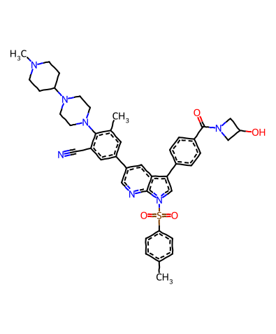 Cc1ccc(S(=O)(=O)n2cc(-c3ccc(C(=O)N4CC(O)C4)cc3)c3cc(-c4cc(C)c(N5CCN(C6CCN(C)CC6)CC5)c(C#N)c4)cnc32)cc1